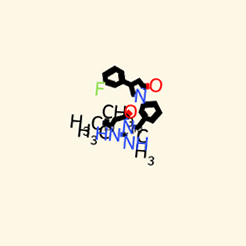 CC(C)[C@]1(C)CC(=O)N([C@H](C)c2cccc(N3CC(c4cccc(F)c4)CC3=O)c2)C(=N)N1